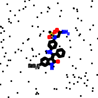 CCOC(=O)c1ccc2c(c1)NC(=O)C2=C(Nc1ccc(N(CC(N)=O)S(C)(=O)=O)cc1)c1ccccc1